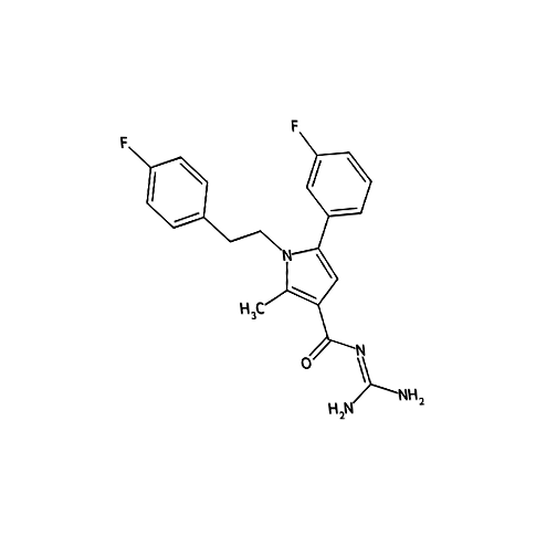 Cc1c(C(=O)N=C(N)N)cc(-c2cccc(F)c2)n1CCc1ccc(F)cc1